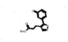 COC(=O)CCc1cnoc1-c1cccc(Cl)c1